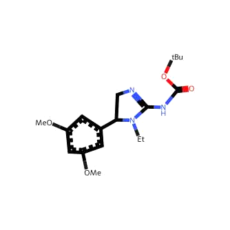 CCN1C(NC(=O)OC(C)(C)C)=NCC1c1cc(OC)cc(OC)c1